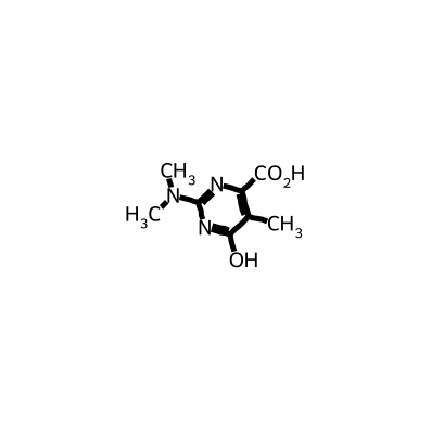 Cc1c(O)nc(N(C)C)nc1C(=O)O